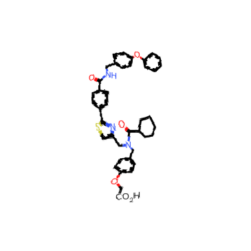 O=C(O)COc1ccc(CN(Cc2csc(-c3ccc(C(=O)NCc4ccc(Oc5ccccc5)cc4)cc3)n2)C(=O)C2CCCCC2)cc1